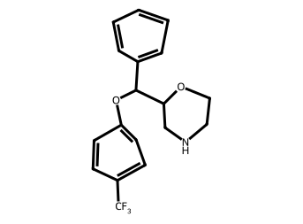 FC(F)(F)c1ccc(OC(c2ccccc2)C2CNCCO2)cc1